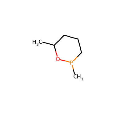 CC1CCCP(C)O1